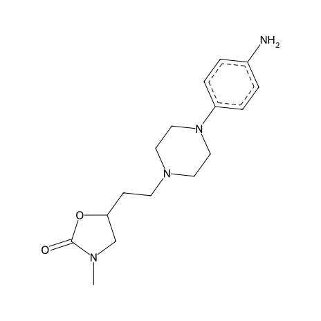 CN1CC(CCN2CCN(c3ccc(N)cc3)CC2)OC1=O